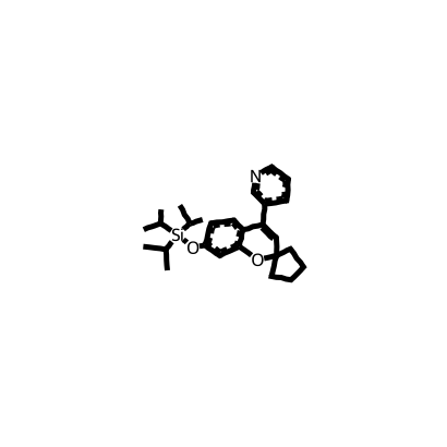 CC(C)[Si](Oc1ccc2c(c1)OC1(C=C2c2cccnc2)CCCC1)(C(C)C)C(C)C